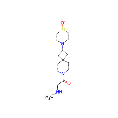 CNCC(=O)N1CCC2(CC1)CC(N1CC[S+]([O-])CC1)C2